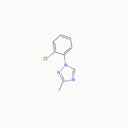 Cc1ncn(-c2ccccc2Cl)n1